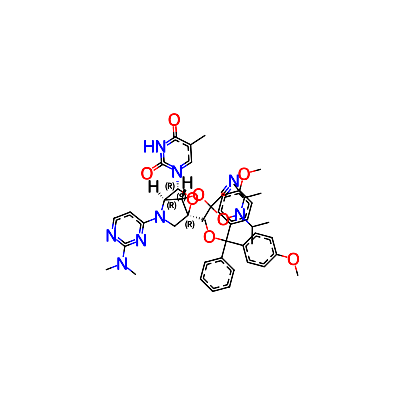 COc1ccc(C(OC[C@@]23CN(c4ccnc(N(C)C)n4)[C@@H]([C@H](n4cc(C)c(=O)[nH]c4=O)O2)[C@@H]3OC(C)(C#N)ON(C(C)C)C(C)C)(c2ccccc2)c2ccc(OC)cc2)cc1